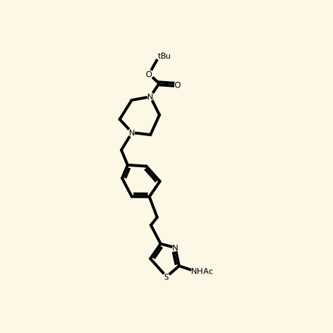 CC(=O)Nc1nc(CCc2ccc(CN3CCN(C(=O)OC(C)(C)C)CC3)cc2)cs1